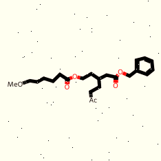 COCCCCCC(=O)OCCC(CCC(C)=O)CC(=O)OCc1ccccc1